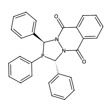 O=c1c2ccccc2c(=O)n2n1[C@H](c1ccccc1)P(c1ccccc1)[C@H]2c1ccccc1